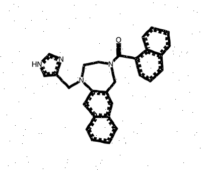 O=C(c1cccc2ccccc12)N1CCN(Cc2c[nH]cn2)c2cc3ccccc3cc2C1